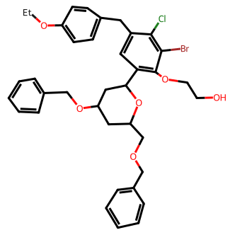 CCOc1ccc(Cc2cc(C3CC(OCc4ccccc4)CC(COCc4ccccc4)O3)c(OCCO)c(Br)c2Cl)cc1